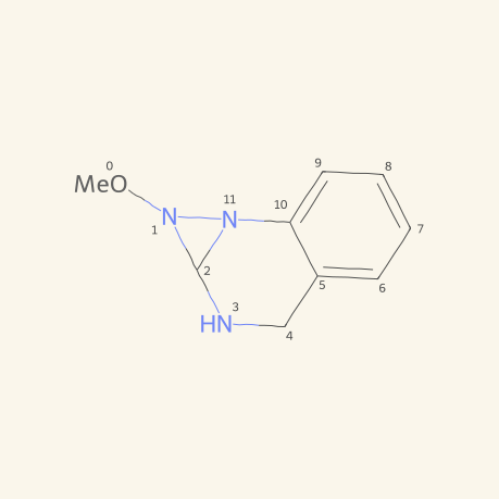 CON1C2NCc3ccccc3N21